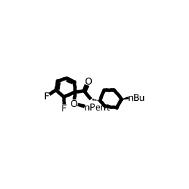 CCCCCOC1(C(=O)C[C@H]2CC[C@H](CCCC)CC2)C=CC=C(F)C1F